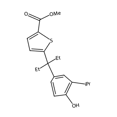 CCC(CC)(c1ccc(O)c(C(C)C)c1)c1ccc(C(=O)OC)s1